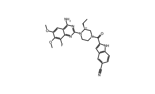 CC[C@H]1CN(C(=O)c2cc3cc(C#N)ccc3[nH]2)CCN1c1nc(N)c2cc(OC)c(OC)c(F)c2n1